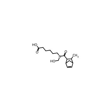 CC1C2C=CC(C2)C1C(=O)N(CO)CCCCCC(=O)O